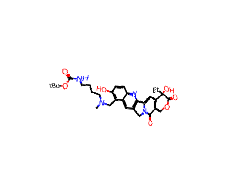 CCC1(O)C(=O)OCc2c1cc1n(c2=O)Cc2cc3c(CN(C)CCCCNC(=O)OC(C)(C)C)c(O)ccc3nc2-1